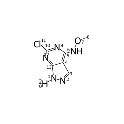 [2H]n1ncc2c(NOC)nc(Cl)nc21